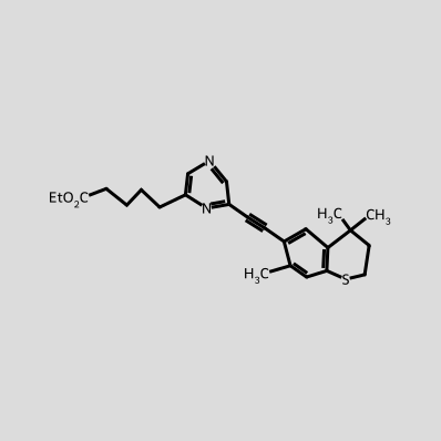 CCOC(=O)CCCCc1cncc(C#Cc2cc3c(cc2C)SCCC3(C)C)n1